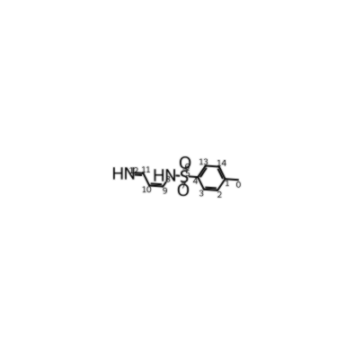 Cc1ccc(S(=O)(=O)N/C=C\C=N)cc1